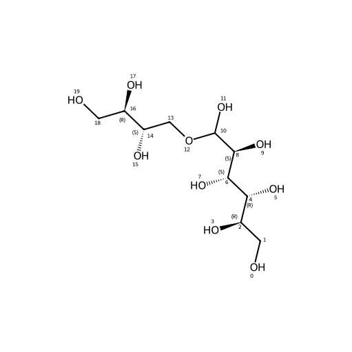 OC[C@@H](O)[C@@H](O)[C@H](O)[C@H](O)C(O)OC[C@H](O)[C@H](O)CO